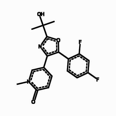 Cn1cc(-c2nc(C(C)(C)O)oc2-c2ccc(F)cc2F)ccc1=O